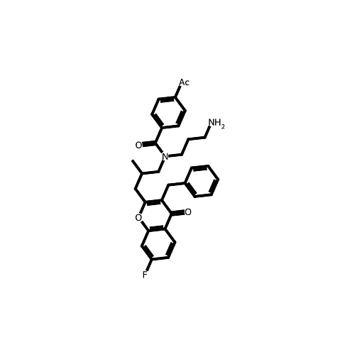 CC(=O)c1ccc(C(=O)N(CCCN)CC(C)Cc2oc3cc(F)ccc3c(=O)c2Cc2ccccc2)cc1